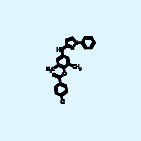 Cc1cc(Nc2ccn(-c3ccccc3)n2)cc(C)c1OC(=O)c1ccc(Cl)cc1